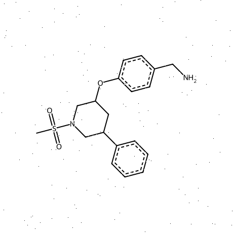 CS(=O)(=O)N1CC(Oc2ccc(CN)cc2)CC(c2ccccc2)C1